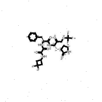 O=C(NC1CC(F)(F)C1)C(=O)N[C@@H](Cc1ccccc1)C(=O)N[C@@H](C[C@@H]1CCNC1=O)C(=O)COC(F)(F)F